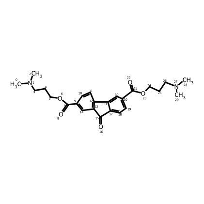 CN(C)CCCOC(=O)c1ccc2c(c1)C(=O)c1ccc(C(=O)OCCCN(C)C)cc1-2